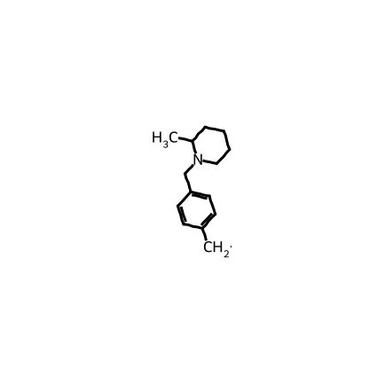 [CH2]c1ccc(CN2CCCCC2C)cc1